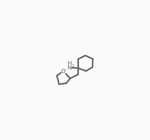 NC1(CC2CCCO2)CCCCC1